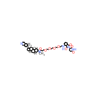 CN(C(=O)CCOCCOCCOCCOCCNc1cccc2c1C(=O)N(C1CCC(=O)NC1=O)C2=O)[C@H]1CC[C@]2(C)C3CC[C@]4(C)[C@@H](c5ccc6ccncc6c5)CC[C@H]4C3CC[C@H]2C1